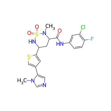 CN1C(C(=O)Nc2ccc(F)c(Cl)c2)CC(c2cc(-c3cncn3C)cs2)NS1(=O)=O